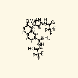 COc1ccc2ccc(C(=N)N)cc2c1-c1cn[nH]c1.O=C(O)C(F)(F)F.O=C(O)C(F)(F)F